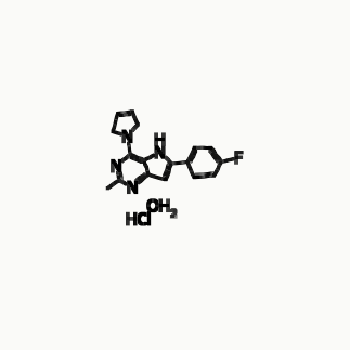 Cc1nc(N2CC=CC2)c2[nH]c(-c3ccc(F)cc3)cc2n1.Cl.O